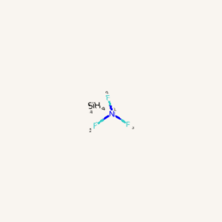 FN(F)F.[SiH4]